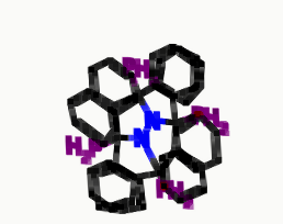 PC(c1ccccc1)(c1ccccc1)N(N(C(P)(c1ccccc1)c1ccccc1)C(P)(c1ccccc1)c1ccccc1)C(P)(c1ccccc1)c1ccccc1